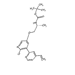 C=Cc1ccnc(-c2cc(OC[C@@H](C)NC(=O)OC(C)(C)C)cnc2Cl)c1